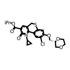 CC(C)OC(=O)c1cc2c(n(C3CC3)c1=O)-c1cc(Cl)c(OC[C@H]3COCCO3)cc1SC2